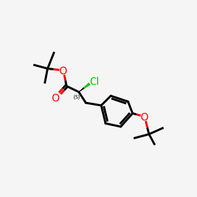 CC(C)(C)OC(=O)[C@@H](Cl)Cc1ccc(OC(C)(C)C)cc1